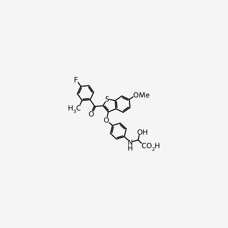 COc1ccc2c(Oc3ccc(NC(O)C(=O)O)cc3)c(C(=O)c3ccc(F)cc3C)sc2c1